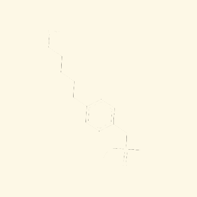 CCCCCCCCCCCCCCCc1ccc(CP(=O)(O)OF)cc1